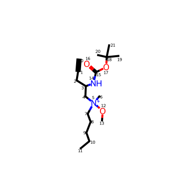 C#CCC(C[N+](C)(CCCCC)OC)NC(=O)OC(C)(C)C